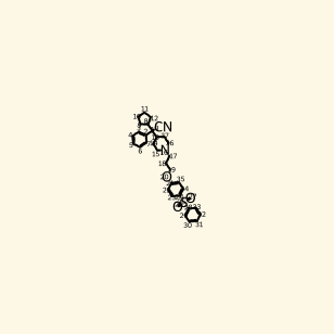 N#CC(c1ccccc1)(C1CCCC1)C1CCN(CCCOc2ccc(S(=O)(=O)c3ccccc3)cc2)CC1